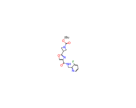 CC(C)(C)OC(=O)N1CC(c2nc(C(=O)NCc3ncccc3F)co2)C1